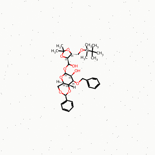 CC1(C)O[C@H](C(O)O[C@@H]2O[C@@H]3COC(c4ccccc4)O[C@H]3[C@H](OCc3ccccc3)[C@@H]2O)[C@@H](CO[Si](C)(C)C(C)(C)C)O1